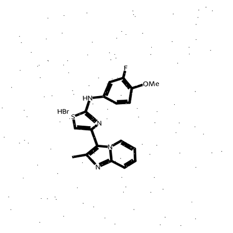 Br.COc1ccc(Nc2nc(-c3c(C)nc4ccccn34)cs2)cc1F